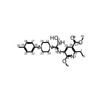 CCc1nc(OC)c(N=C(NO)N2CCN(c3ccc(C)cc3)CC2)cc1C(=O)OC